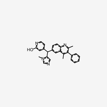 Cc1nc2ccc(C(c3ccnc(O)c3)c3cncn3C)cc2c(C)c1-c1ccccc1